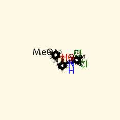 COc1ccc(Sc2ccccc2CNc2cc(Cl)c(C)c(Cl)c2O)cc1